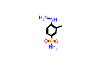 Cc1cc(S(N)(=O)=O)ccc1NN